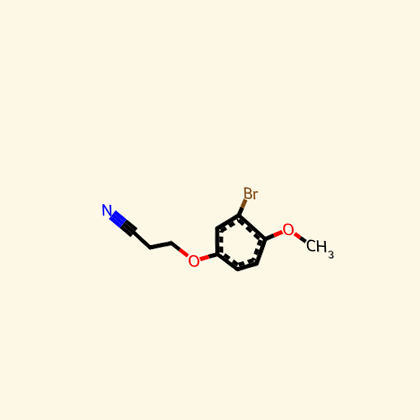 COc1ccc(OCCC#N)cc1Br